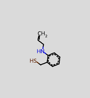 C=CCNc1ccccc1CS